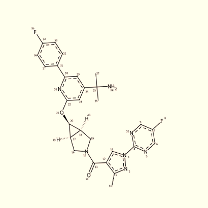 Cc1nn(-c2ncc(F)cn2)cc1C(=O)N1C[C@@H]2[C@H](C1)[C@@H]2Oc1cc(C(C)(C)N)cc(-c2ccc(F)cc2)n1